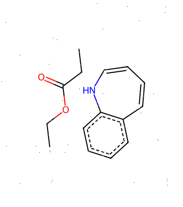 C1=CNc2ccccc2C=C1.CCOC(=O)CC